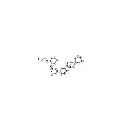 CCOc1ccccc1OC1CCCN(c2cncc(Nc3nc(-c4ccccc4)co3)n2)C1